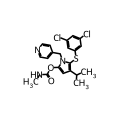 CNC(=O)Oc1cc(C(C)C)c(Sc2cc(Cl)cc(Cl)c2)n1Cc1ccncc1